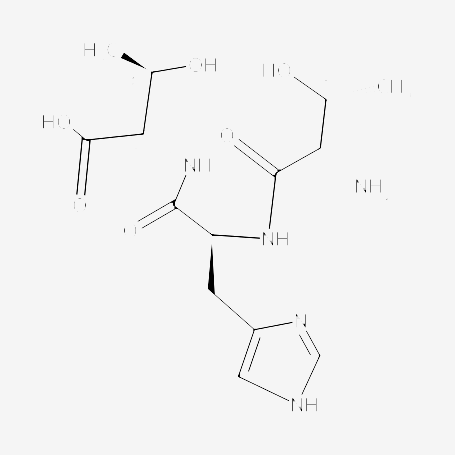 C[C@@H](O)[C@H](N)C(=O)N[C@@H](Cc1c[nH]cn1)C(=O)N[C@H](C(=O)O)[C@@H](C)O